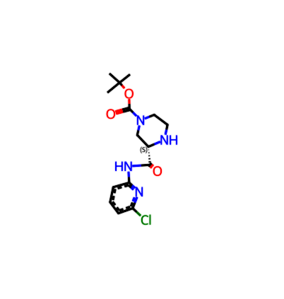 CC(C)(C)OC(=O)N1CCN[C@H](C(=O)Nc2cccc(Cl)n2)C1